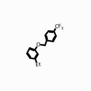 CCc1cccc(OCc2ccc(C(F)(F)F)cc2)c1